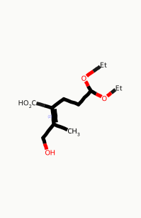 CCOC(CC/C(C(=O)O)=C(\C)CO)OCC